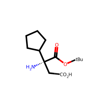 CC(C)(C)OC(=O)[C@@](N)(CC(=O)O)C1CCCC1